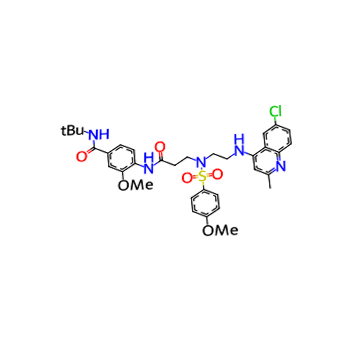 COc1ccc(S(=O)(=O)N(CCNc2cc(C)nc3ccc(Cl)cc23)CCC(=O)Nc2ccc(C(=O)NC(C)(C)C)cc2OC)cc1